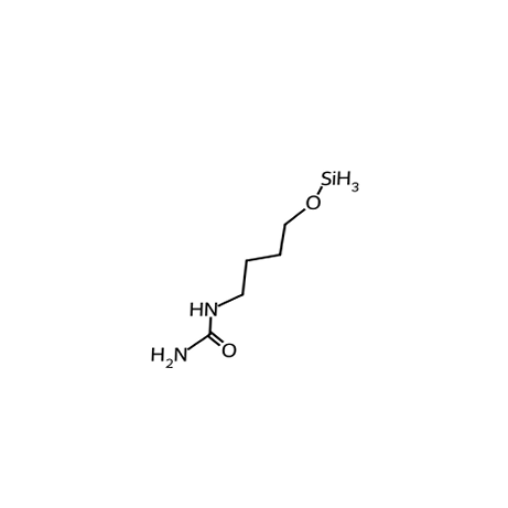 NC(=O)NCCCCO[SiH3]